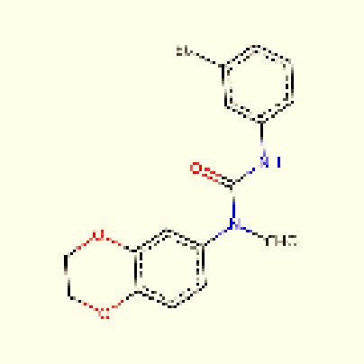 CCc1cccc(NC(=O)N(C=O)c2ccc3c(c2)OCCO3)c1